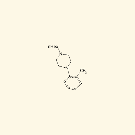 [CH2]CCCCCN1CCN(c2ccccc2C(F)(F)F)CC1